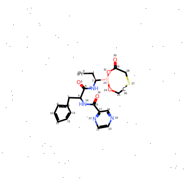 CC(C)C[C@H](NC(=O)C(Cc1ccccc1)NC(=O)c1cnccn1)B1OCCSCC(=O)O1